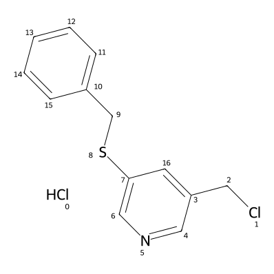 Cl.ClCc1cncc(SCc2ccccc2)c1